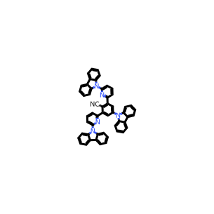 N#Cc1c(-c2cccc(-n3c4ccccc4c4ccccc43)n2)cc(-n2c3ccccc3c3ccccc32)cc1-c1cccc(-n2c3ccccc3c3ccccc32)n1